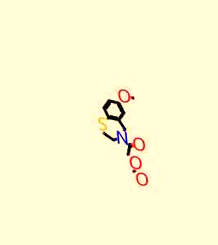 COc1ccc2c(c1)CN(C(=O)COC=O)CCS2